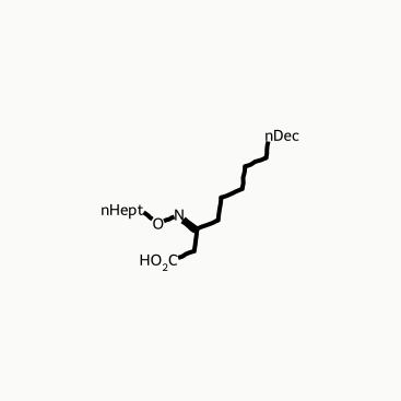 CCCCCCCCCCCCCCCC(CC(=O)O)=NOCCCCCCC